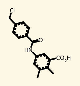 Cc1cc(NC(=O)c2ccc(CCl)cc2)cc(C(=O)O)c1C